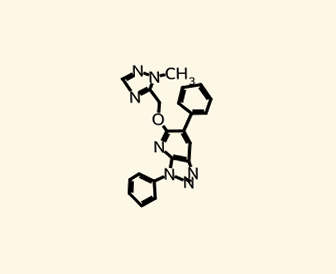 Cn1ncnc1COc1nc2c(cc1-c1ccccc1)nnn2-c1ccccc1